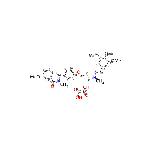 COc1ccc2cc(-c3ccc(OCCCN(C)CCc4cc(OC)c(OC)c(OC)c4)cc3)n(C)c(=O)c2c1.O=C(O)C(=O)O